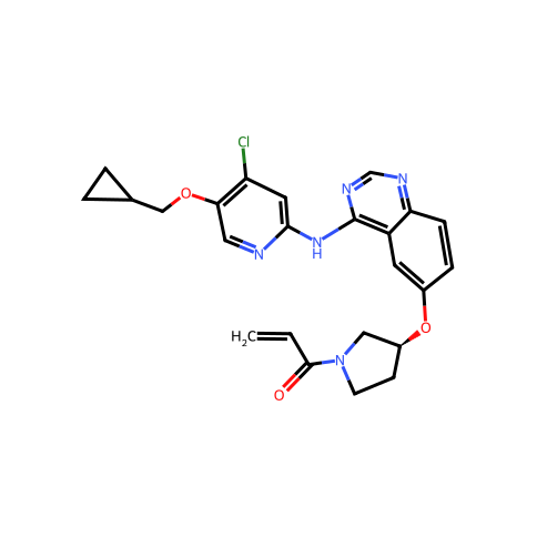 C=CC(=O)N1CC[C@H](Oc2ccc3ncnc(Nc4cc(Cl)c(OCC5CC5)cn4)c3c2)C1